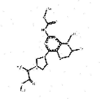 CC(C)C1COc2c(N3CC[C@@H](N(C)C(=O)OC(C)(C)C)C3)nc(NC(=O)OC(C)(C)C)nc2N1C